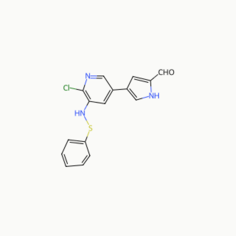 O=Cc1cc(-c2cnc(Cl)c(NSc3ccccc3)c2)c[nH]1